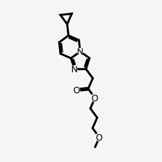 COCCCOC(=O)Cc1cn2cc(C3CC3)ccc2n1